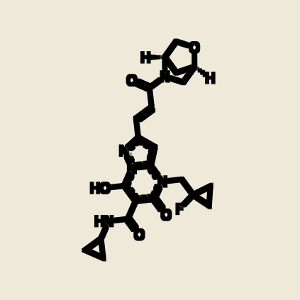 O=C(NC1CC1)c1c(O)n2nc(/C=C/C(=O)N3C[C@H]4C[C@@H]3CO4)cc2n(CC2(F)CC2)c1=O